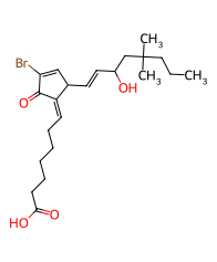 CCCC(C)(C)CC(O)/C=C/C1C=C(Br)C(=O)/C1=C\CCCCCC(=O)O